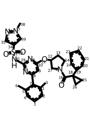 Cc1cccc(C)c1-c1cc(OC2CCN(C(=O)C3(c4ccccc4)CC3)C2)nc(NS(=O)(=O)c2cnn(C)c2)n1